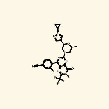 C[C@H]1CN(c2nc(-c3ccc(C#N)cc3F)c3nc(C(F)(F)F)n(C)c(=O)c3n2)C[C@@H](c2cnn(C3CC3)c2)O1